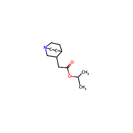 CC(C)OC(=O)CC1CN2CCC1CC2